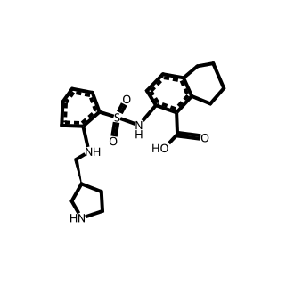 O=C(O)c1c(NS(=O)(=O)c2ccccc2NC[C@H]2CCNC2)ccc2c1CCCC2